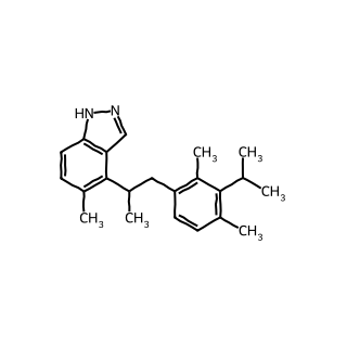 Cc1ccc(CC(C)c2c(C)ccc3[nH]ncc23)c(C)c1C(C)C